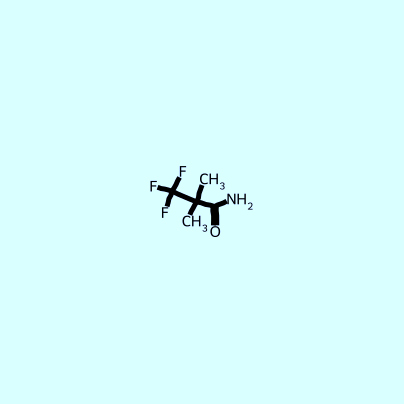 CC(C)(C(N)=O)C(F)(F)F